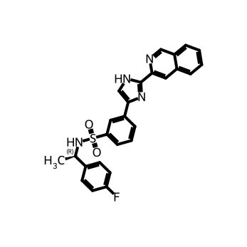 C[C@@H](NS(=O)(=O)c1cccc(-c2c[nH]c(-c3cc4ccccc4cn3)n2)c1)c1ccc(F)cc1